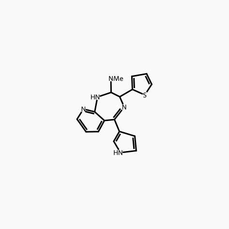 CNC1Nc2ncccc2C(c2cc[nH]c2)=NC1c1cccs1